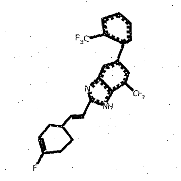 FC1=CCC(C=Cc2nc3cc(-c4ccccc4C(F)(F)F)cc(C(F)(F)F)c3[nH]2)CC1